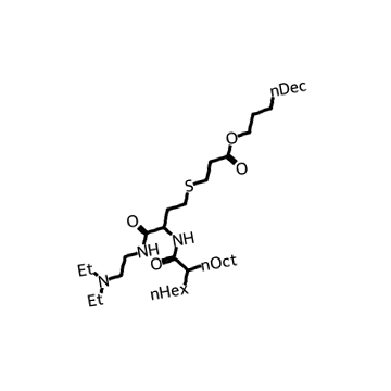 CCCCCCCCCCCCCOC(=O)CCSCCC(NC(=O)C(CCCCCC)CCCCCCCC)C(=O)NCCN(CC)CC